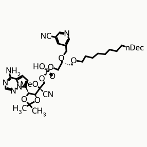 CCCCCCCCCCCCCCCCCCOC[C@H](COP(=O)(O)OC[C@@](C#N)(OC)[C@H]1OC(C)(C)O[C@H]1c1ccc2c(N)ncnn12)OCc1cncc(C#N)c1